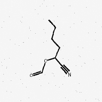 CCCCC(C#N)OC=O